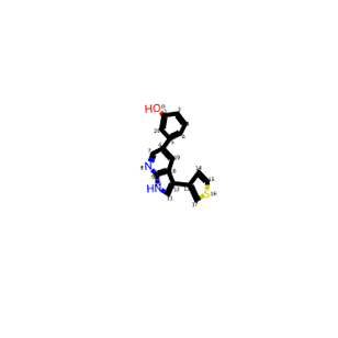 Oc1cccc(-c2cnc3[nH]cc(-c4ccsc4)c3c2)c1